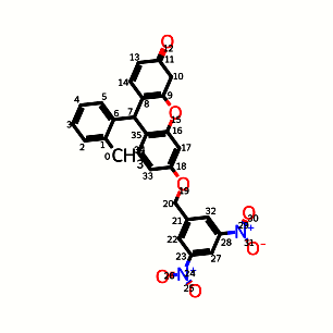 Cc1ccccc1C1C2=C(CC(=O)C=C2)Oc2cc(OCc3cc([N+](=O)[O-])cc([N+](=O)[O-])c3)ccc21